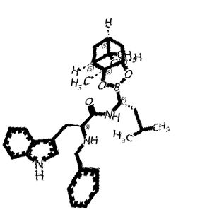 CC(C)C[C@H](NC(=O)[C@H](Cc1c[nH]c2ccccc12)NCc1ccccc1)B1O[C@@H]2C[C@@H]3C[C@@H](C3(C)C)[C@]2(C)O1